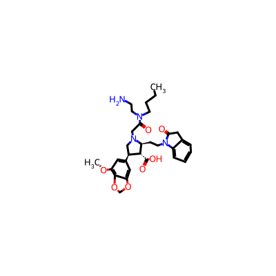 CCCCN(CCN)C(=O)CN1C[C@H](c2cc(OC)c3c(c2)OCO3)[C@@H](C(=O)O)[C@@H]1CCN1C(=O)Cc2ccccc21